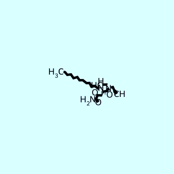 C#CCN(CC#C)C(=O)[C@@H](CCC(N)=O)NC(=O)CCCCCCCCCCCC